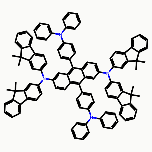 CC1(C)c2ccccc2-c2ccc(N(c3ccc4c(c3)C(C)(C)c3ccccc3-4)c3ccc4c(-c5ccc(N(c6ccccc6)c6ccccc6)cc5)c5cc(N(c6ccc7c(c6)C(C)(C)c6ccccc6-7)c6ccc7c(c6)C(C)(C)c6ccccc6-7)ccc5c(-c5ccc(N(c6ccccc6)c6ccccc6)cc5)c4c3)cc21